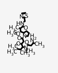 CCC(C)C(C(CC(=O)N1CCCC1C(OC)C(C)C(=O)NCc1nccs1)OC)N(C)C(=O)CC(C)N